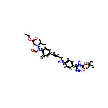 CCOC(=O)CN(C(C)C)N(C=O)c1ccc(C#CCNc2ccc(C(=N)NC(=O)OC(C)(C)C)cc2)cc1C